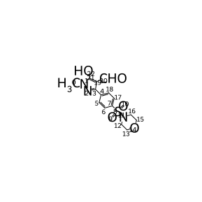 Cn1nc(-c2ccc(S(=O)(=O)N3CCOCC3)cc2)c(C=O)c1O